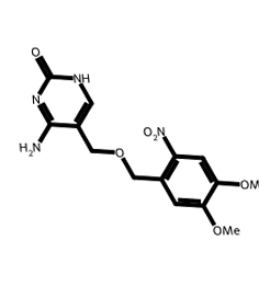 COc1cc(COCc2c[nH]c(=O)nc2N)c([N+](=O)[O-])cc1OC